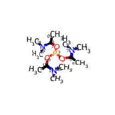 CC(OP(OC(C)N(C)C)OC(C)N(C)C)N(C)C